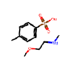 CNCCOC.Cc1ccc(S(=O)(=O)O)cc1